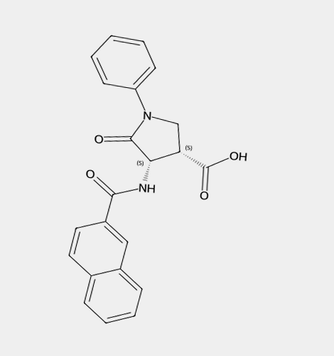 O=C(N[C@@H]1C(=O)N(c2ccccc2)C[C@@H]1C(=O)O)c1ccc2ccccc2c1